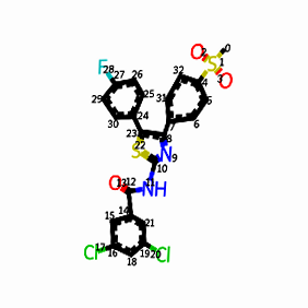 CS(=O)(=O)c1ccc(-c2nc(NC(=O)c3cc(Cl)cc(Cl)c3)sc2-c2ccc(F)cc2)cc1